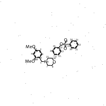 COc1ccc(CN2CCO[C@@H](c3ccc(OS(=O)(=O)c4ccccc4)cc3)C2)c(OC)c1